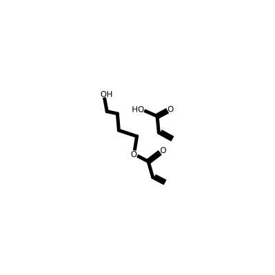 C=CC(=O)O.C=CC(=O)OCCCCO